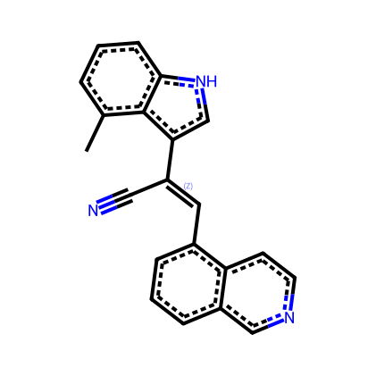 Cc1cccc2[nH]cc(/C(C#N)=C/c3cccc4cnccc34)c12